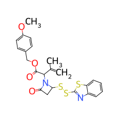 C=C(C)C(C(=O)OCc1ccc(OC)cc1)N1C(=O)CC1SSc1nc2ccccc2s1